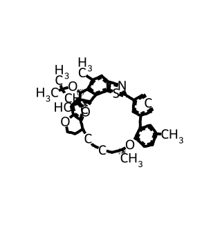 Cc1ccc2c(c1)-c1cccc(c1)-c1nc3cc(C)c([C@H](OC(C)(C)C)C(=O)O)c(c3s1)-c1ccc3c(c1)C(CCCC[C@H](C)O2)CCO3